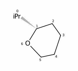 CC(C)[C@@H]1CCCCO1